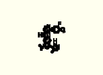 CO[C@H]1CCN(c2nccc(Nc3cc4c(cn3)c(-c3[nH]ncc3C)cn4C(C)C)n2)C[C@H]1F